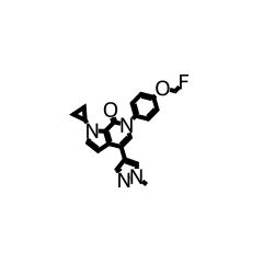 Cn1cc(-c2cn(-c3ccc(OCF)cc3)c(=O)c3c2ccn3C2CC2)cn1